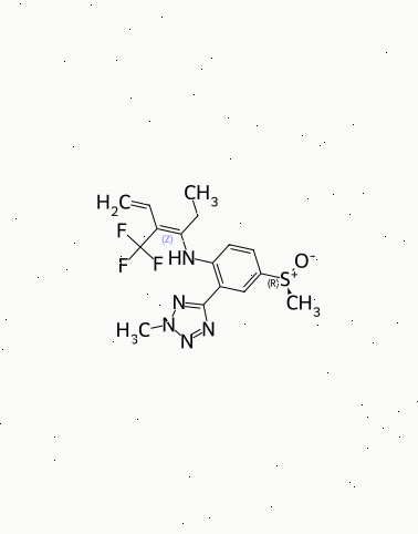 C=C/C(=C(\CC)Nc1ccc([S@+](C)[O-])cc1-c1nnn(C)n1)C(F)(F)F